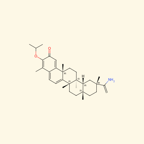 C=C(N)[C@]1(C)CC[C@]2(C)CC[C@]3(C)C4=CC=C5C(=CC(=O)C(OC(C)C)=C5C)[C@]4(C)CC[C@@]3(C)[C@@H]2C1